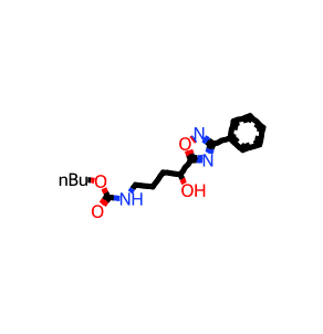 CCCCOC(=O)NCCCC(O)c1nc(-c2ccccc2)no1